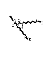 C=CCOC(=O)N(CCCCCCN=C=O)C(=O)NCCCCCCN=C=O